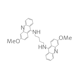 COc1ccc2c(NCCCCNc3c4ccccc4nc4cc(OC)ccc34)c3ccccc3nc2c1